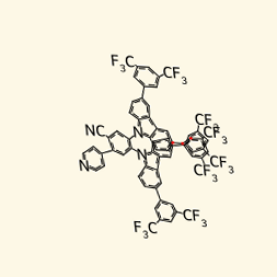 N#Cc1cc(-n2c3ccc(-c4cc(C(F)(F)F)cc(C(F)(F)F)c4)cc3c3cc(-c4cc(C(F)(F)F)cc(C(F)(F)F)c4)ccc32)c(-n2c3ccc(-c4cc(C(F)(F)F)cc(C(F)(F)F)c4)cc3c3cc(-c4cc(C(F)(F)F)cc(C(F)(F)F)c4)ccc32)cc1-c1ccncc1